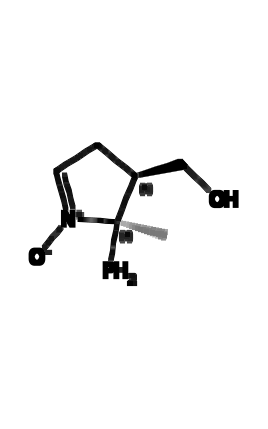 C[C@@]1(P)[C@H](CO)CC=[N+]1[O-]